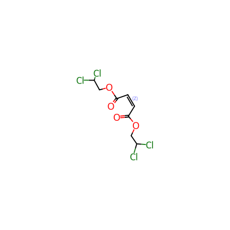 O=C(/C=C\C(=O)OCC(Cl)Cl)OCC(Cl)Cl